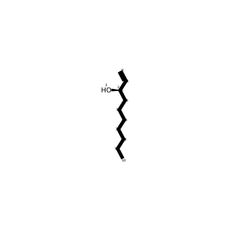 C=C[C@H](O)CCCCCCC